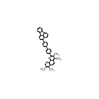 Cc1cnc2c(ccc3c(C)c(C)c(-c4ccc(-c5ccc(-c6ccc7c8c(cccc68)-c6ccccc6-7)cc5)cc4)nc32)c1C